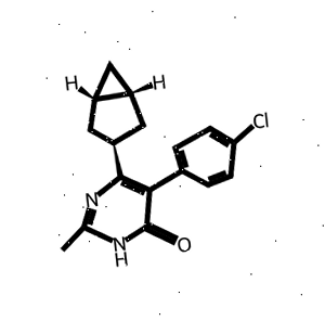 Cc1nc([C@H]2C[C@@H]3C[C@@H]3C2)c(-c2ccc(Cl)cc2)c(=O)[nH]1